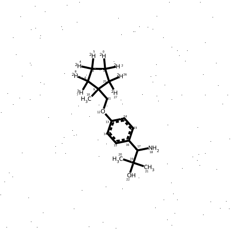 [2H]C1([2H])C([2H])([2H])C([2H])([2H])C(C)(COc2ccc(C(N)C(C)(C)O)cc2)C1([2H])[2H]